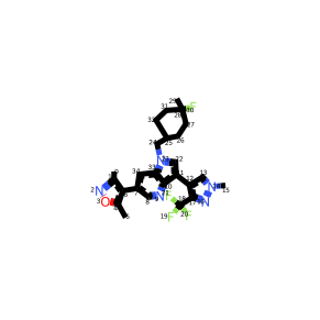 Cc1noc(C)c1-c1cnc2c(-c3cn(C)nc3C(F)(F)F)cn(CC3CCC(C)(F)CC3)c2c1